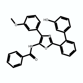 COc1cccc(-c2nc(-c3ccccc3-c3cccc(O)c3)oc2NC(=O)c2ccccc2)c1